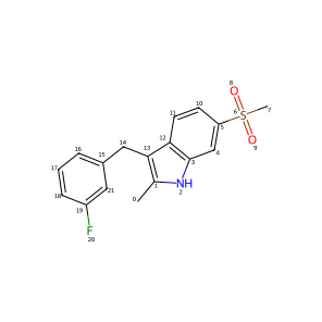 Cc1[nH]c2cc(S(C)(=O)=O)ccc2c1Cc1cccc(F)c1